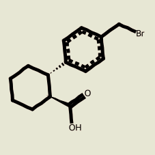 O=C(O)[C@H]1CCCC[C@@H]1c1ccc(CBr)cc1